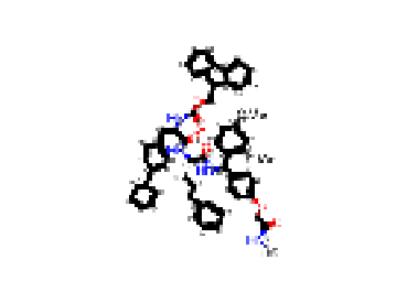 CCNC(=O)COc1ccc(C(NC(=O)[C@H](CCCc2ccccc2)NC(=O)C(Cc2ccc(-c3ccccc3)cc2)NC(=O)OCC2c3ccccc3-c3ccccc32)c2ccc(OC)cc2OC)cc1